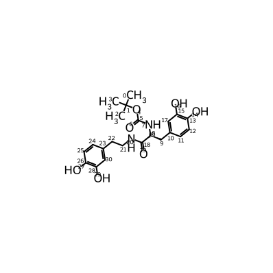 CC(C)(C)OC(=O)N[C@@H](Cc1ccc(O)c(O)c1)C(=O)NCCc1ccc(O)c(O)c1